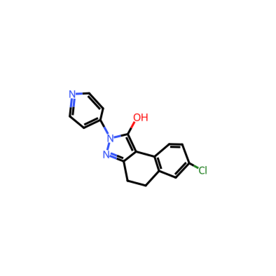 Oc1c2c(nn1-c1ccncc1)CCc1cc(Cl)ccc1-2